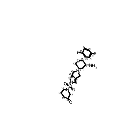 N[C@H]1C[C@@H](N2Cc3cn(S(=O)(=O)N4CCCC(=O)C4)nc3C2)CO[C@@H]1c1cc(F)ccc1F